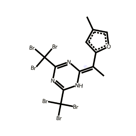 C/C(=C1/N=C(C(Br)(Br)Br)N=C(C(Br)(Br)Br)N1)c1cc(C)co1